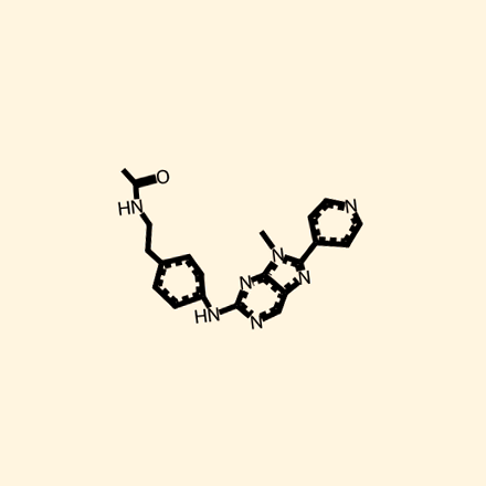 CC(=O)NCCc1ccc(Nc2ncc3nc(-c4ccncc4)n(C)c3n2)cc1